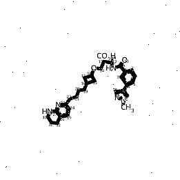 Cn1cc(-c2cccc(C(=O)N[C@@H](CCOC3CC(CCCCc4ccc5c(n4)NCCC5)C3)C(=O)O)c2)cn1